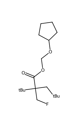 CC(C)(C)CC(CF)(C(=O)OCOC1CCCC1)C(C)(C)C